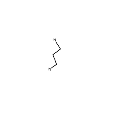 [N]CCC[N]